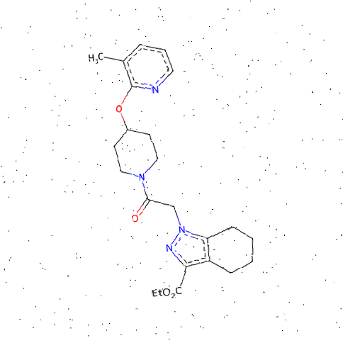 CCOC(=O)c1nn(CC(=O)N2CCC(Oc3ncccc3C)CC2)c2c1CCCC2